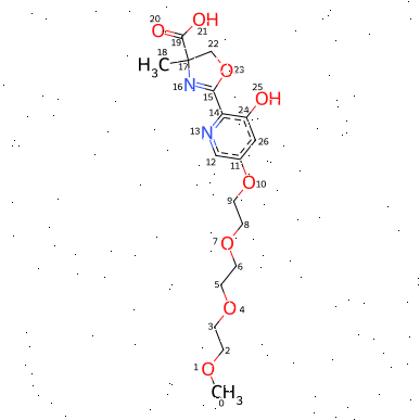 COCCOCCOCCOc1cnc(C2=NC(C)(C(=O)O)CO2)c(O)c1